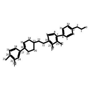 CCCc1ccc(-c2ccc(CCC3CC=C(c4ccc(C)c(F)c4)CC3)c(F)c2F)cc1